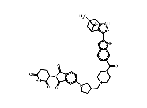 C[C@@]12Cc3[nH]nc(-c4cc5ccc(C(=O)N6CCN(C[C@H]7CCN(c8ccc9c(c8)C(=O)N(C8CCC(=O)NC8=O)C9=O)C7)CC6)cc5[nH]4)c3C(C1)C2(F)F